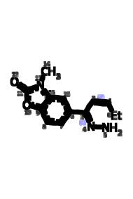 CC/C=C\C(=N/N)c1ccc2oc(=O)n(C)c2c1